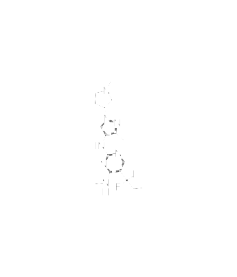 CNc1nc(Nc2cn([C@@H]3CCN(C)C3)nc2C)ncc1C(F)(F)CF